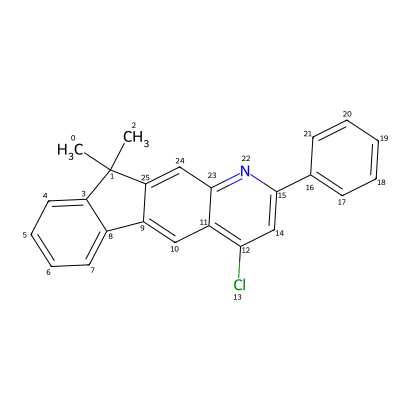 CC1(C)c2ccccc2-c2cc3c(Cl)cc(-c4ccccc4)nc3cc21